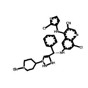 CC(C)(C)N1CCC(N2C=C([C@@H](Nc3cc(Cl)c4ncc(C#N)c(Nc5ccsc5Cl)c4c3)c3ccccc3)NN2)CC1